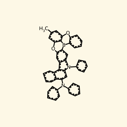 Cc1cc2c3c(c1)Oc1cc4c5c6ccccc6c(N(c6ccccc6)c6ccccc6)cc5n(-c5ccccc5)c4cc1B3c1ccccc1O2